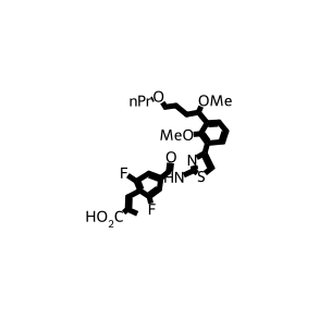 CCCOCCCC(OC)c1cccc(-c2csc(NC(=O)c3cc(F)c(/C=C(\C)C(=O)O)c(F)c3)n2)c1OC